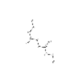 CCCC(C)CCC(=O)OCC